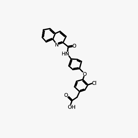 O=C(O)Cc1ccc(Oc2ccc(NC(=O)c3ccc4ccccc4n3)cc2)c(Cl)c1